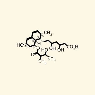 CC(O)C(C)C(=O)O[C@H]1C[C@H](O)C=C2C=C[C@H](C)[C@H](CCC(O)CC(O)CC(=O)O)[C@H]21